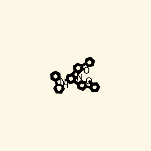 C1=CC2c3ccccc3N(c3cc4c5ccc6c7ccccc7oc6c5n5c4c(c3)c3ccc4c6ccccc6oc4c35)[C@H]2C=C1